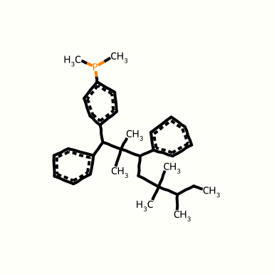 CCC(C)C(C)(C)CC(c1ccccc1)C(C)(C)C(c1ccccc1)c1ccc(P(C)C)cc1